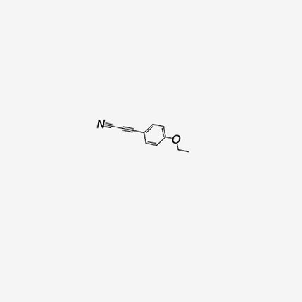 CCOc1ccc(C#CC#N)cc1